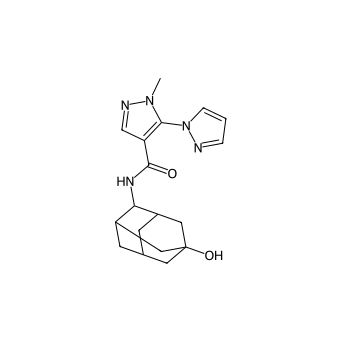 Cn1ncc(C(=O)NC2C3CC4CC2CC(O)(C4)C3)c1-n1cccn1